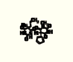 C=CCC1(C(C)CC)C(=O)NC(=O)NC1=O.CCC1(c2ccccc2)C(=O)NC(=O)N(C)C1=O